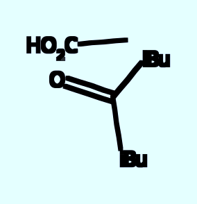 CC(=O)O.CCC(C)C(=O)C(C)CC